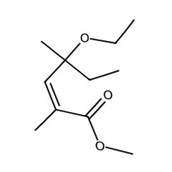 CCOC(C)(C=C(C)C(=O)OC)CC